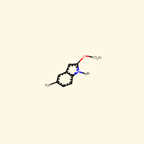 CCCn1c(OC(=O)OCC)cc2cc([N+](=O)[O-])ccc21